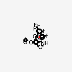 O=C(Nc1cc(OC[C@H]2CCO2)cc2c1[C@@H](c1cc(F)ccc1Cl)NCOC2)c1cc(F)cc(C(F)(F)F)c1